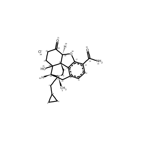 C[N@+]1(CC2CC2)CC[C@]23c4c5ccc(C(N)=O)c4O[C@@H]2C(=O)CCC3(O)[C@H]1C5.[Cl-]